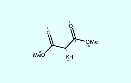 COC(=O)CC(=O)OC.[KH]